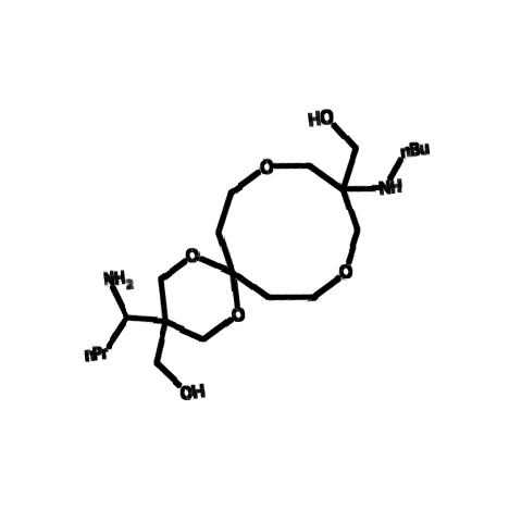 CCCCNC1(CO)COCCC2(CCOC1)OCC(CO)(C(N)CCC)CO2